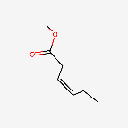 CC/C=C\CC(=O)OC